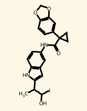 CC(c1cc2cc(NC(=O)C3(c4ccc5c(c4)OCO5)CC3)ccc2[nH]1)C(O)I